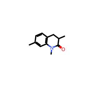 Cc1ccc2c(c1)N(C)C(=O)C(C)C2